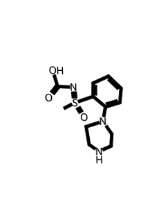 CS(=O)(=NC(=O)O)c1ccccc1N1CCNCC1